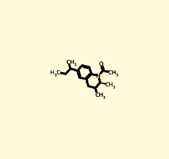 CCC(C)c1ccc2c(c1)CC(C)[C@H](C)N2C(C)=O